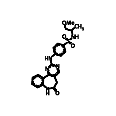 COCC(C)NS(=O)(=O)c1ccc(Nc2ncc3c(n2)-c2ccccc2NC(=O)C3)cc1